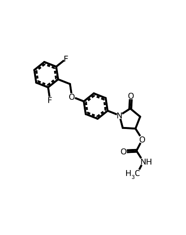 CNC(=O)OC1CC(=O)N(c2ccc(OCc3c(F)cccc3F)cc2)C1